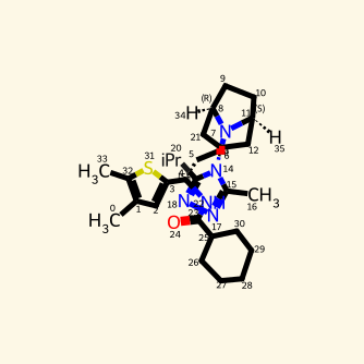 Cc1cc([C@H](CCN2[C@@H]3CC[C@H]2C[C@H](n2c(C)nnc2C(C)C)C3)NC(=O)C2CCCCC2)sc1C